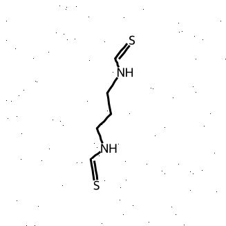 S=CNCCCNC=S